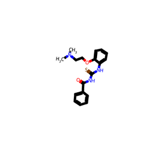 CN(C)CCOc1ccccc1NC(=S)NC(=O)c1ccccc1